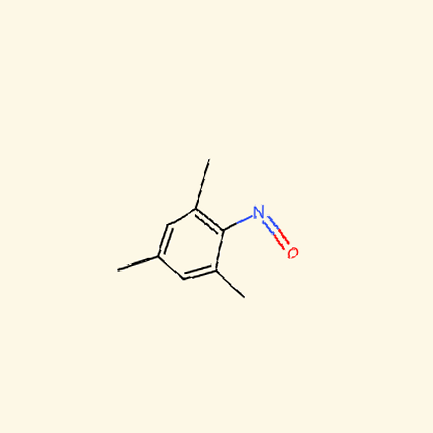 Cc1cc(C)c(N=O)c(C)c1